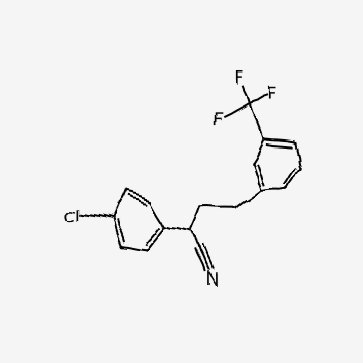 N#CC(CCc1cccc(C(F)(F)F)c1)c1ccc(Cl)cc1